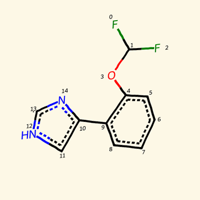 FC(F)Oc1ccccc1-c1c[nH][c]n1